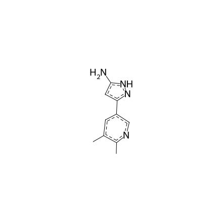 Cc1cc(-c2cc(N)[nH]n2)cnc1C